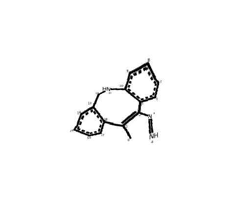 C/C1=C(\N=N)c2ccccc2NCc2ccccc21